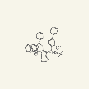 CC(C)(C)[S@@+]([O-])N[C@@H](c1ccc(-c2ccccc2)cc1)c1c(CP(c2ccccc2)c2ccccc2)n(S(=O)(=O)c2ccccc2)c2ccccc12